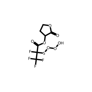 O=C1OCCC1OC(=O)C(F)(SOOO)C(F)(F)F